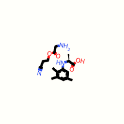 Cc1cc(C)c(C)c(N[C@@H](C)C(=O)O)c1.N#CCCOC(=O)CN